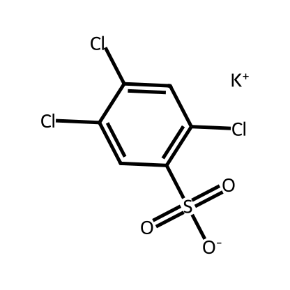 O=S(=O)([O-])c1cc(Cl)c(Cl)cc1Cl.[K+]